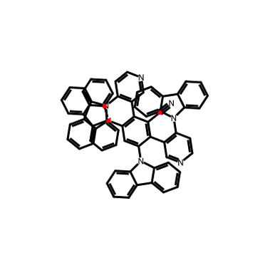 N#Cc1c(-c2cnccc2-n2c3ccccc3c3ccccc32)c(-n2c3ccccc3c3ccccc32)cc(-n2c3ccccc3c3ccccc32)c1-c1cnccc1-n1c2ccccc2c2ccccc21